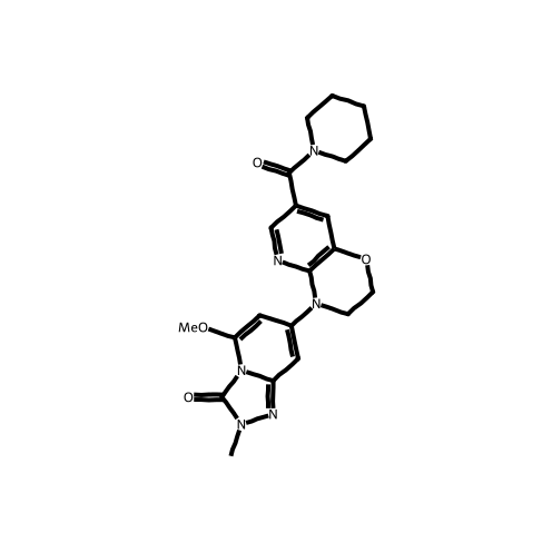 COc1cc(N2CCOc3cc(C(=O)N4CCCCC4)cnc32)cc2nn(C)c(=O)n12